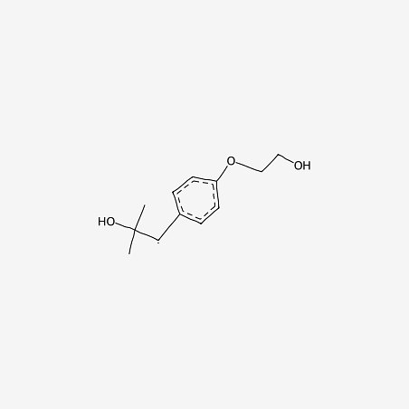 CC(C)(O)[CH]c1ccc(OCCO)cc1